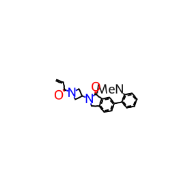 C=CC(=O)N1CC(N2Cc3ccc(-c4ccccc4NC)cc3C2=O)C1